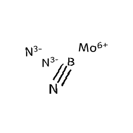 B#N.[Mo+6].[N-3].[N-3]